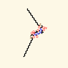 CCCCCCCCCCCCCCC(=S)OC(C(C)O)N1C(=O)N(CN2C(=O)N(C(OC(=S)CCCCCCCCCCCCCC)C(C)O)C(=O)C2(C)C)C(C)(C)C1=O